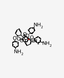 Nc1ccc(OC2(Oc3ccc(N)cc3)C=CC=CC2S(=O)(=O)C2C=CC=CC2(Oc2ccc(N)cc2)Oc2ccc(N)cc2)cc1